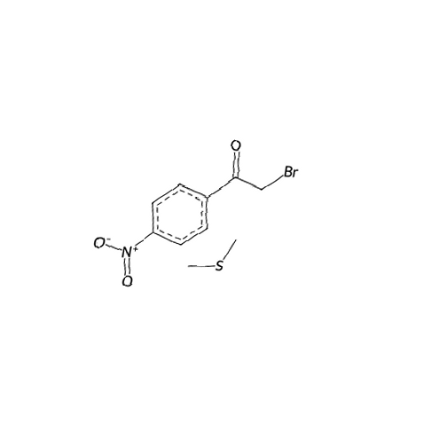 CSC.O=C(CBr)c1ccc([N+](=O)[O-])cc1